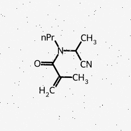 C=C(C)C(=O)N(CCC)C(C)C#N